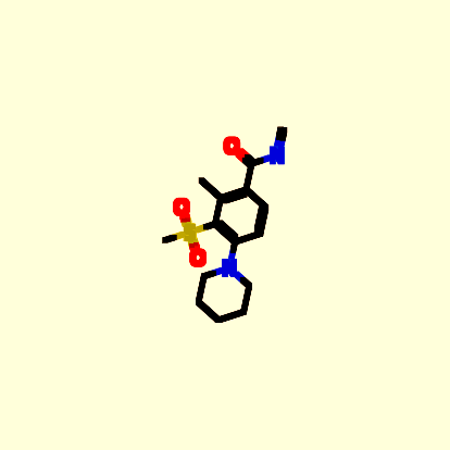 C=NC(=O)c1ccc(N2CCCCC2)c(S(C)(=O)=O)c1C